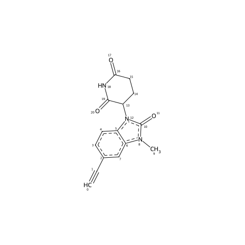 C#Cc1ccc2c(c1)n(C)c(=O)n2C1CCC(=O)NC1=O